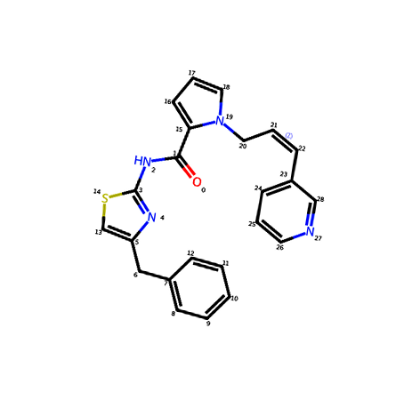 O=C(Nc1nc(Cc2ccccc2)cs1)c1cccn1C/C=C\c1cccnc1